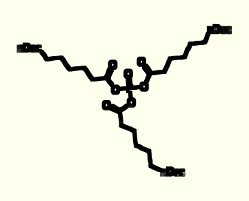 CCCCCCCCCCCCCCCC(=O)OP(=O)(OC(=O)CCCCCCCCCCCCCCC)OC(=O)CCCCCCCCCCCCCCC